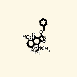 C[C@H]1C=C[C@@H](O)[C@]2(O)C(=O)c3c(OCc4ccccc4)noc3[C@@H](N(C)C)[C@H]12